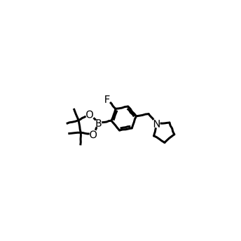 CC1(C)OB(c2ccc(CN3CCCC3)cc2F)OC1(C)C